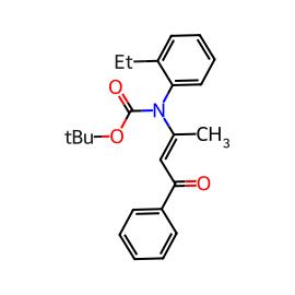 CCc1ccccc1N(C(=O)OC(C)(C)C)/C(C)=C/C(=O)c1ccccc1